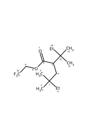 CCC(C)(C)CC(C(=O)OCC(F)(F)F)C(C)(C)CC